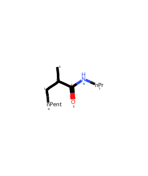 CCCCCCC(C)C(=O)NCCC